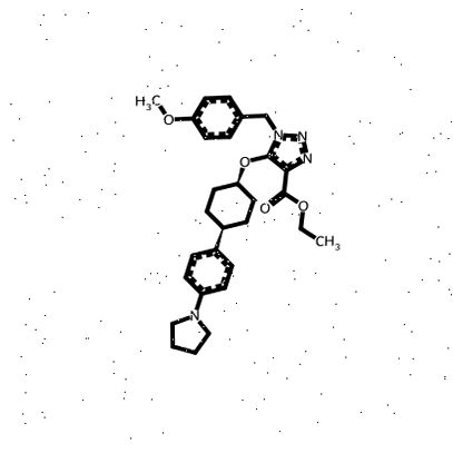 CCOC(=O)c1nnn(Cc2ccc(OC)cc2)c1O[C@H]1CC[C@@H](c2ccc(N3CCCC3)cc2)CC1